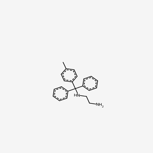 Cc1ccc(C(NCCN)(c2ccccc2)c2ccccc2)cc1